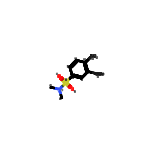 COc1cc(S(=O)(=O)N(C)C)ccc1[N+](=O)[O-]